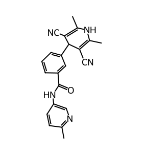 CC1=C(C#N)C(c2cccc(C(=O)Nc3ccc(C)nc3)c2)C(C#N)=C(C)N1